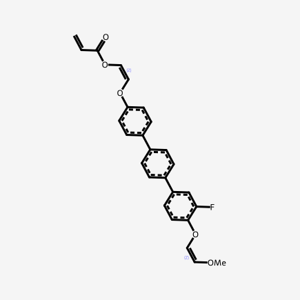 C=CC(=O)O/C=C\Oc1ccc(-c2ccc(-c3ccc(O/C=C\OC)c(F)c3)cc2)cc1